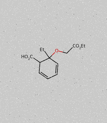 CCOC(=O)COC1(CC)C=CC=CC1C(=O)O